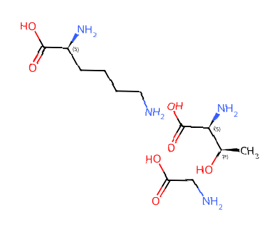 C[C@@H](O)[C@H](N)C(=O)O.NCC(=O)O.NCCCC[C@H](N)C(=O)O